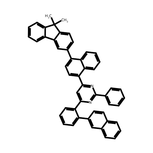 CC1(C)c2ccccc2-c2cc(-c3ccc(-c4cc(-c5ccccc5-c5ccc6ccccc6c5)nc(-c5ccccc5)n4)c4ccccc34)ccc21